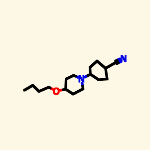 CCCCOC1CCN(C2CCC(C#N)CC2)CC1